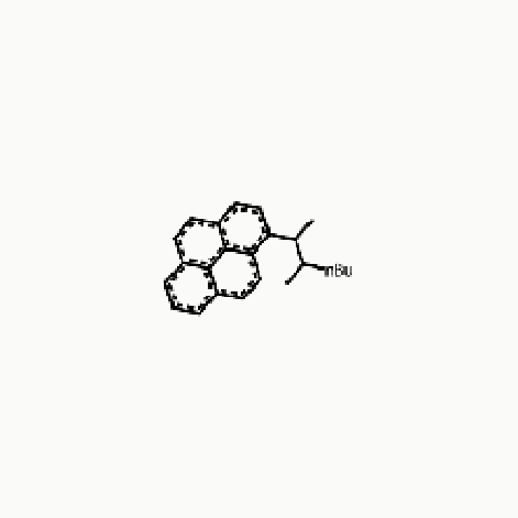 CCCCC(C)C(C)c1ccc2ccc3cccc4ccc1c2c34